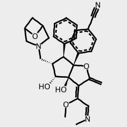 C=C1O[C@@]2(c3ccc(C#N)cc3)[C@H](c3ccccc3)[C@@H](CN3CC4CC(C3)O4)[C@@H](O)[C@@]2(O)/C1=C(/C=N\C)OC